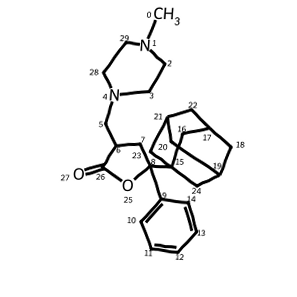 CN1CCN(CC2CC(c3ccccc3)(C34CC5CC(CC(C5)C3)C4)OC2=O)CC1